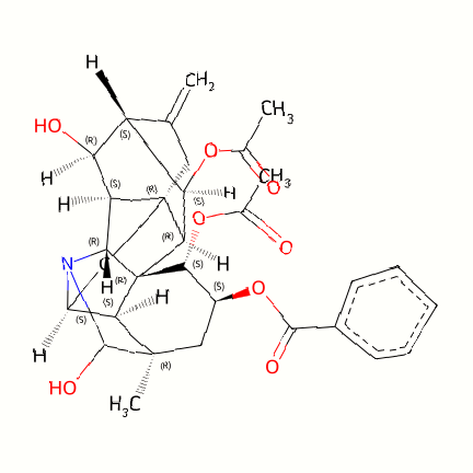 C=C1C[C@]23C[C@H]4[C@H]5[C@]67[C@H](OC(C)=O)[C@@H](OC(=O)c8ccccc8)C[C@@]5(C)C(O)N4[C@@H]6[C@H]2[C@@H](O)[C@H]1[C@@H](OC(C)=O)[C@H]37